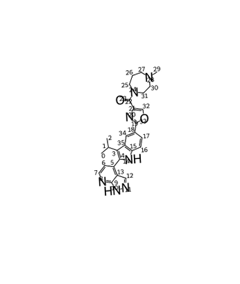 CC(C)c1c(-c2ccnc3[nH]ncc23)[nH]c2ccc(-c3nc(C(=O)N4CCCN(C)CC4)co3)cc12